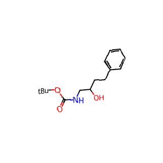 CC(C)(C)OC(=O)NCC(O)CCc1ccccc1